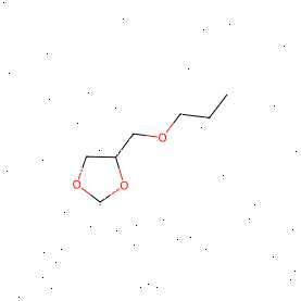 CCCOCC1CO[CH]O1